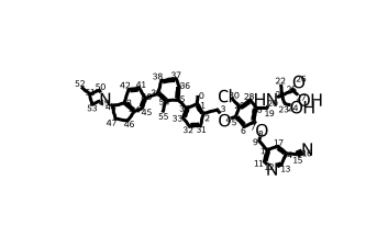 Cc1c(COc2cc(OCc3cncc(C#N)c3)c(CNC(C)(CO)C(=O)O)cc2Cl)cccc1-c1cccc(-c2ccc3c(c2)CCC3N2CC(C)C2)c1C